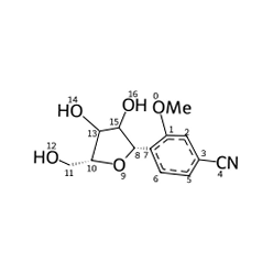 COc1cc(C#N)ccc1[C@@H]1O[C@H](CO)C(O)C1O